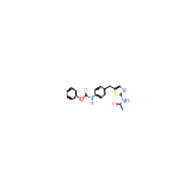 CC(=O)Nc1ncc(Cc2ccc(NC(=O)Oc3ccccc3)cc2)s1